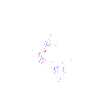 CC[C@H](C)[C@@H]([C@@H](CC(=O)N1CCC[C@H]1[C@H](OC)[C@@H](C)C(=O)N[C@@H](Cc1ccccc1)c1nccs1)OC)N(C)C(=O)[C@@H](NC(=O)C(C)(C)NC(=O)OCc1ccc(NC(=O)[C@H](CCCNC(N)=O)NC(=O)C(NC(=O)[C@H](CCCCN)NC(=O)OC)C(C)C)cc1)C(C)C